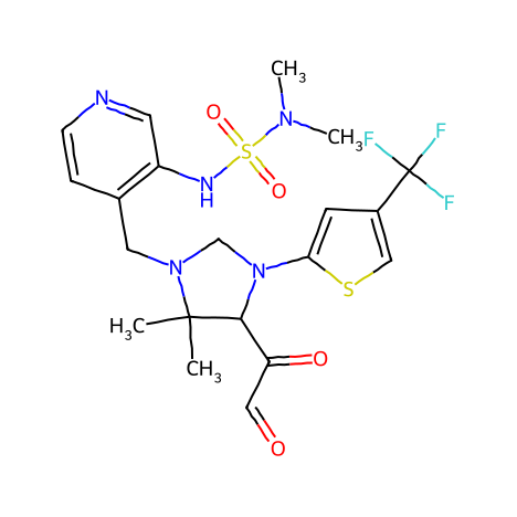 CN(C)S(=O)(=O)Nc1cnccc1CN1CN(c2cc(C(F)(F)F)cs2)C(C(=O)C=O)C1(C)C